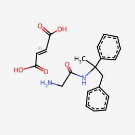 CC(Cc1ccccc1)(NC(=O)CN)c1ccccc1.O=C(O)/C=C/C(=O)O